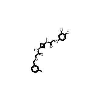 Cc1cccc(COCC(=O)NC23CC(NC(=O)COc4ccc(Cl)c(Cl)c4)(C2)C3)c1